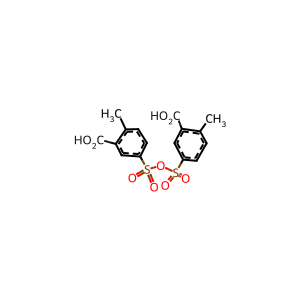 Cc1ccc(S(=O)(=O)OS(=O)(=O)c2ccc(C)c(C(=O)O)c2)cc1C(=O)O